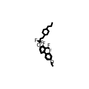 CCCC1CCC(CCC(F)(F)Oc2ccc(-c3ccc(OCC)cc3)c(C(F)F)c2F)CC1